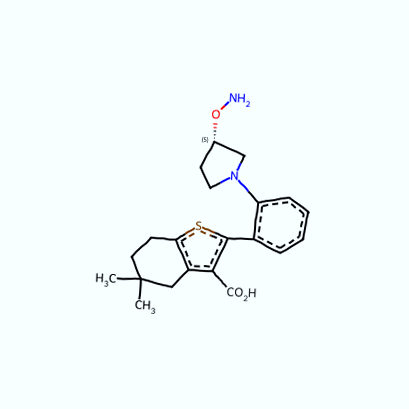 CC1(C)CCc2sc(-c3ccccc3N3CC[C@H](ON)C3)c(C(=O)O)c2C1